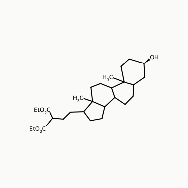 CCOC(=O)C(CCC1CCC2C3CCC4C[C@H](O)CCC4(C)C3CCC12C)C(=O)OCC